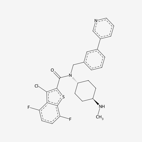 CN[C@H]1CC[C@H](N(Cc2cccc(-c3cccnc3)c2)C(=O)c2sc3c(F)ccc(F)c3c2Cl)CC1